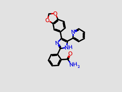 NC(=O)c1ccccc1-c1nc(-c2ccc3c(c2)OCO3)c(-c2ccccn2)[nH]1